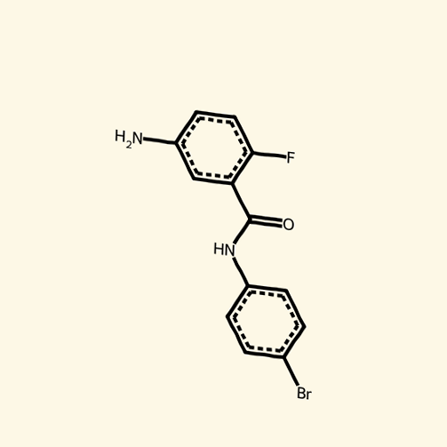 Nc1ccc(F)c(C(=O)Nc2ccc(Br)cc2)c1